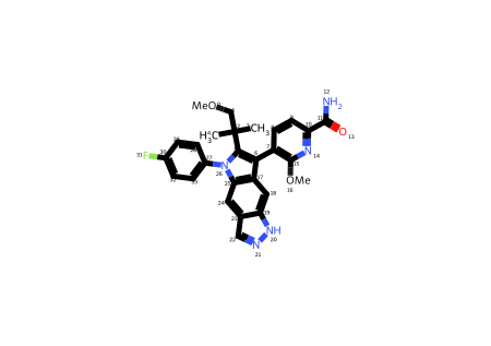 COCC(C)(C)c1c(-c2ccc(C(N)=O)nc2OC)c2cc3[nH]ncc3cc2n1-c1ccc(F)cc1